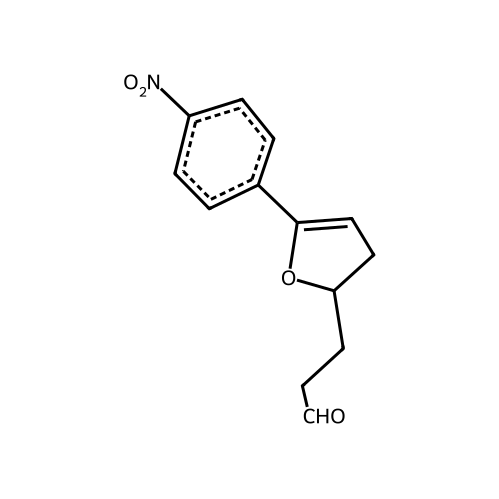 O=CCCC1CC=C(c2ccc([N+](=O)[O-])cc2)O1